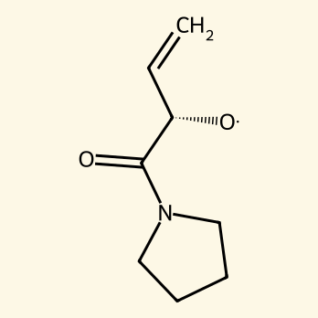 C=C[C@H]([O])C(=O)N1CCCC1